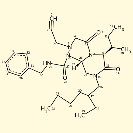 C#CCN1CC(=O)N2[C@@H](C(C)CC)C(=O)N(CC(CC)CCCC)C[C@@H]2N1C(=O)NCc1ccccc1